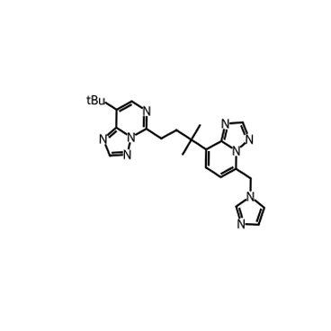 CC(C)(C)c1cnc(CCC(C)(C)c2ccc(Cn3ccnc3)n3ncnc23)n2ncnc12